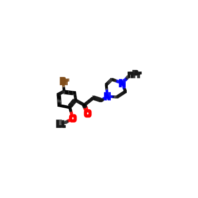 CCCN1CCN(C=CC(=O)c2cc(Br)ccc2OCC)CC1